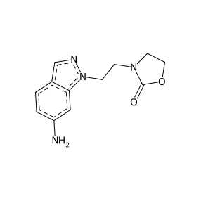 Nc1ccc2cnn(CCN3CCOC3=O)c2c1